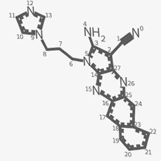 N#Cc1c(N)n(CCCn2ccnc2)c2nc3cc4ccccc4cc3nc12